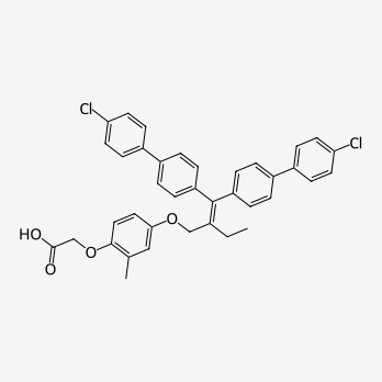 CCC(COc1ccc(OCC(=O)O)c(C)c1)=C(c1ccc(-c2ccc(Cl)cc2)cc1)c1ccc(-c2ccc(Cl)cc2)cc1